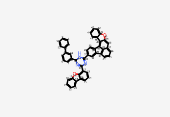 c1ccc(-c2cccc(C3N=C(c4cccc5c4oc4ccccc45)N=C(c4ccc5c(c4)-c4cccc6cc7oc8ccccc8c7c-5c46)N3)c2)cc1